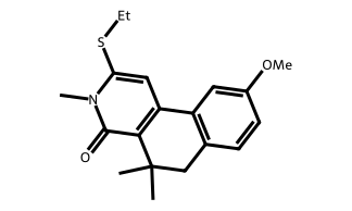 CCSc1cc2c(c(=O)n1C)C(C)(C)Cc1ccc(OC)cc1-2